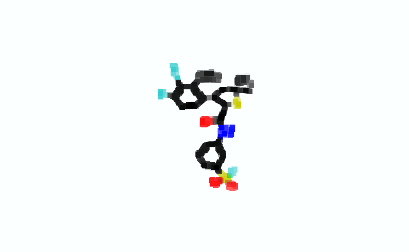 COc1c([C@@H]2C[C@](C)(C(F)(F)F)S[C@H]2C(=O)Nc2cccc(S(=O)(=O)F)c2)ccc(F)c1F